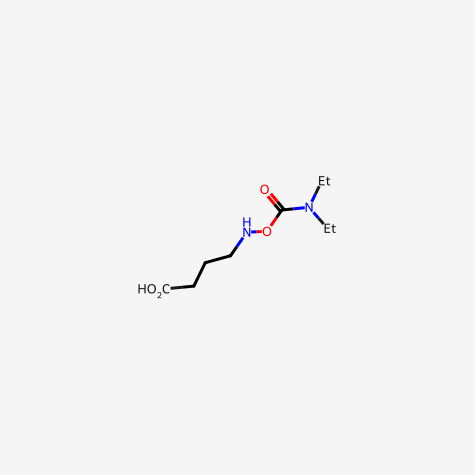 CCN(CC)C(=O)ONCCCC(=O)O